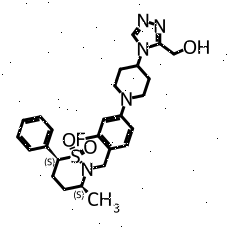 C[C@H]1CC[C@@H](c2ccccc2)S(=O)(=O)N1Cc1ccc(N2CCC(n3cnnc3CO)CC2)cc1F